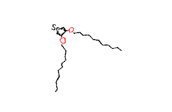 CCCCCCCCCCCOc1c[se]cc1OCCCCCCCCCCC